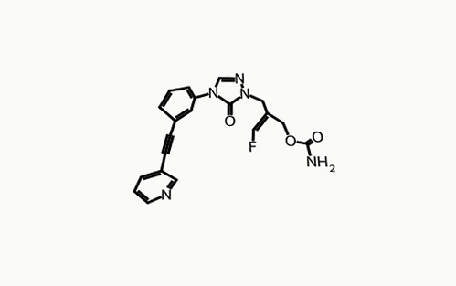 NC(=O)OCC(=CF)Cn1ncn(-c2cccc(C#Cc3cccnc3)c2)c1=O